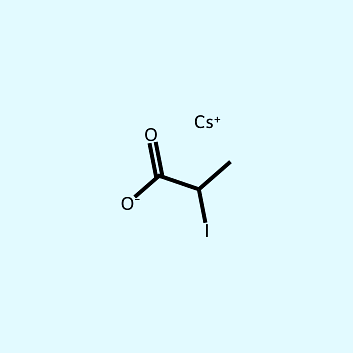 CC(I)C(=O)[O-].[Cs+]